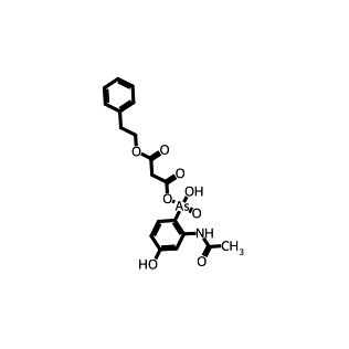 CC(=O)Nc1cc(O)ccc1[As](=O)(O)OC(=O)CC(=O)OCCc1ccccc1